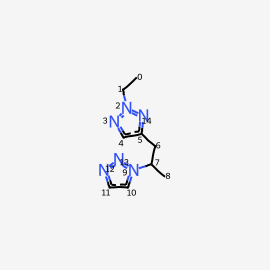 CCn1ncc(CC(C)n2ccnn2)n1